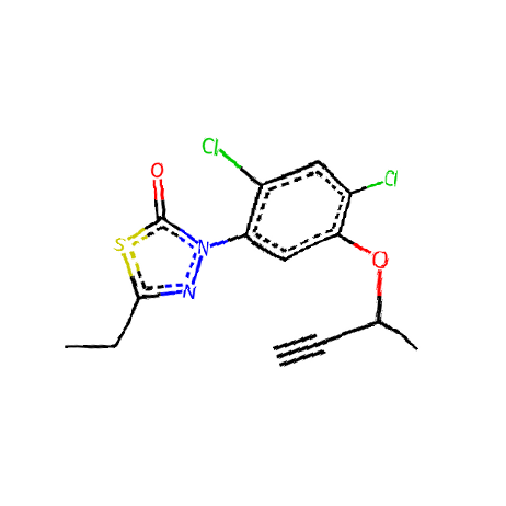 C#CC(C)Oc1cc(-n2nc(CC)sc2=O)c(Cl)cc1Cl